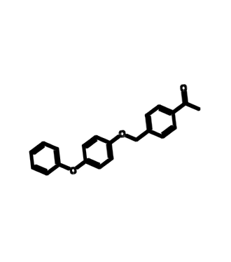 CC(=O)c1ccc(COc2ccc(Oc3ccccc3)cc2)cc1